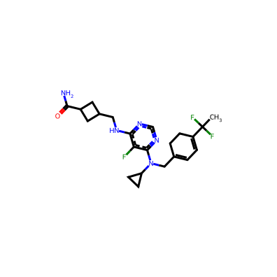 CC(F)(F)C1=CC=C(CN(c2ncnc(NCC3CC(C(N)=O)C3)c2F)C2CC2)CC1